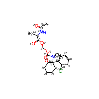 CC(C)C(=O)NC(C(=O)OCOC(=O)N(C)[C@]1(c2ccccc2Cl)CCCCC1=O)C(C)C